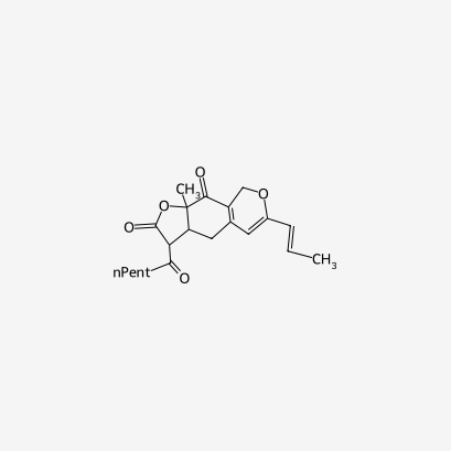 CC=CC1=CC2=C(CO1)C(=O)C1(C)OC(=O)C(C(=O)CCCCC)C1C2